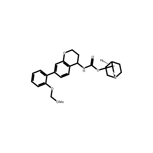 COCOc1ccccc1-c1ccc2c(c1)OCCC2NC(=O)O[C@@H]1CN2CCC1CC2